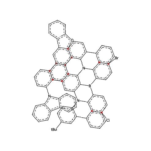 CC(C)(C)c1ccc(N2c3cc(Cl)ccc3B3c4ccc(Br)cc4N(c4c(-c5ccccc5)cccc4-c4ccccc4)c4cc(-c5c(-c6ccc7oc8ccccc8c7c6)cccc5-n5c6ccccc6c6ccccc65)cc2c43)c(-c2ccccc2)c1